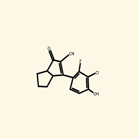 N#CC1=C(c2ccc(O)c(Cl)c2F)C2CCCC2C1=O